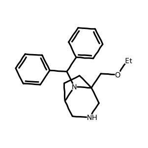 CCOCC12CCC(CNC1)N2C(c1ccccc1)c1ccccc1